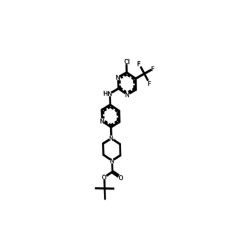 CC(C)(C)OC(=O)N1CCN(c2ccc(Nc3ncc(C(F)(F)F)c(Cl)n3)cn2)CC1